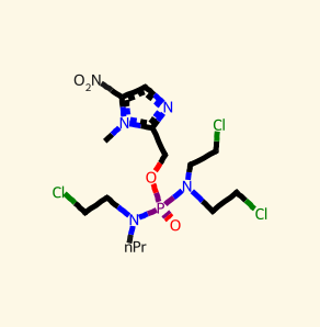 CCCN(CCCl)P(=O)(OCc1ncc([N+](=O)[O-])n1C)N(CCCl)CCCl